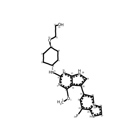 COc1nc(N[C@H]2CC[C@H](OCCO)CC2)nc2[nH]cc(-c3cc(F)c4nccn4c3)c12